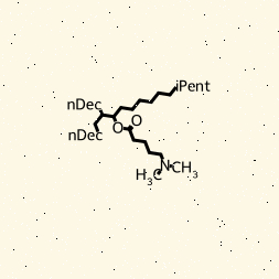 CCCCCCCCCCCC(CCCCCCCCCC)C(CCCCCCC(C)CCC)OC(=O)CCCCN(C)C